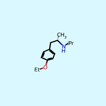 CCOc1ccc(C[C@H](C)NC(C)C)cc1